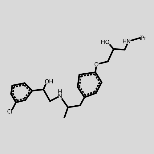 CC(C)NCC(O)COc1ccc(CC(C)NCC(O)c2cccc(Cl)c2)cc1